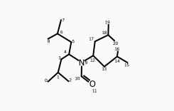 CC(C)CC(CC(C)C)N(C=O)C(CC(C)C)CC(C)C